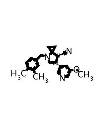 COc1cncc([C@@H]2CN(Cc3ccc(C)c(C)c3)C3(CC3)[C@H]2C#N)c1